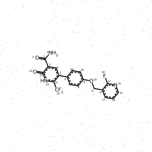 NC(=O)c1cc(-c2ccc(OCc3cccnc3F)cc2)c(C(F)(F)F)[nH]c1=O